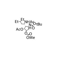 CCC(CC)CC(NC(C)=O)[C@H]1[C@@H](OC(C)=O)[C@H](OC(=O)OC)C[C@H]1NC(=O)OC(C)(C)C